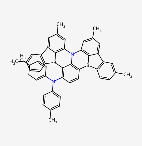 Cc1ccc(N(C2=CCC(C)C=C2)c2ccc3c4c2B2c5ccc(C)cc5-c5cc(C)cc(c52)N4c2cc(C)cc4c2B3c2ccc(C)cc2-4)cc1